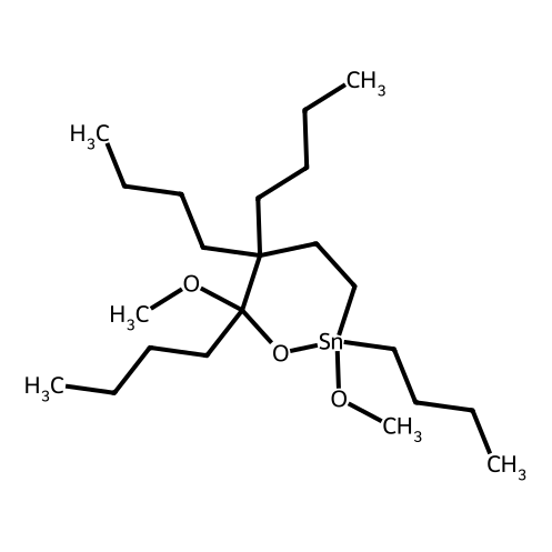 CCCCC1(CCCC)C[CH2][Sn]([CH2]CCC)([O]C)[O]C1(CCCC)OC